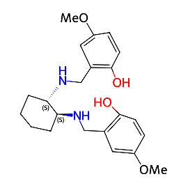 COc1ccc(O)c(CN[C@H]2CCCC[C@@H]2NCc2cc(OC)ccc2O)c1